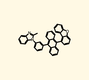 Cc1nc2ccccc2n1-c1cccc(-c2c3ccccc3c(-c3cccc4oc5ccccc5c34)c3ccccc23)c1